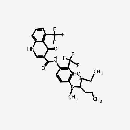 CCCC([C@@H](O)CC)N(C)c1ccc(NC(=O)c2c[nH]c3cccc(C(F)(F)F)c3c2=O)c(C(F)(F)F)c1